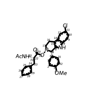 COc1ccc([C@H]2c3[nH]c4ccc(Cl)cc4c3CCN2OC(=O)[C@H](Cc2ccccc2)NC(C)=O)cc1